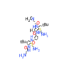 C=NCCCC(=O)NC(=C/CC(C)(C)C)/C(SCCN)=C(\C)NC(=O)c1cccc(C(=O)Nc2cc(C(C)(C)C)cc(NC(=O)CCCN)c2SCCN)c1